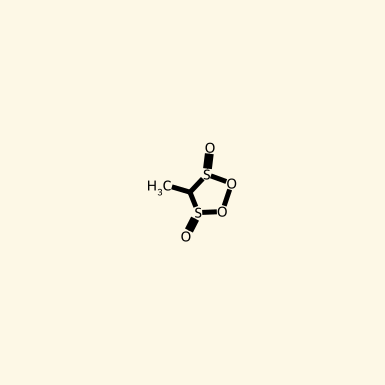 CC1S(=O)OOS1=O